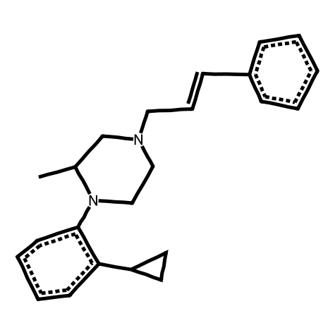 CC1CN(CC=Cc2ccccc2)CCN1c1ccccc1C1CC1